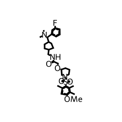 COc1cc(C)c(S(=O)(=O)N2CCCC(OCC(=O)NCC3CCC(C(c4cccc(F)c4)N(C)C)CC3)C2)c(C)c1C